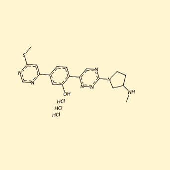 CNC1CCN(c2ncc(-c3ccc(-c4cc(SC)ncn4)cc3O)nn2)C1.Cl.Cl.Cl